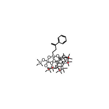 C=C(CC[Si](O[Si](O[Si](C)(C)C)(O[Si](C)(C)C)O[Si](C)(C)C)(O[Si](O[Si](C)(C)C)(O[Si](C)(C)C)O[Si](C)(C)C)O[Si](O[Si](C)(C)C)(O[Si](C)(C)C)O[Si](C)(C)C)c1ccccc1